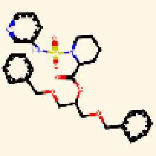 O=C(OC(COCc1ccccc1)COCc1ccccc1)C1CCCCN1S(=O)(=O)Nc1cccnc1